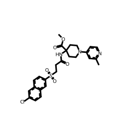 COC(=O)C1(NC(=O)CCS(=O)(=O)c2ccc3cc(Cl)ccc3c2)CCN(c2ccnc(C)c2)CC1